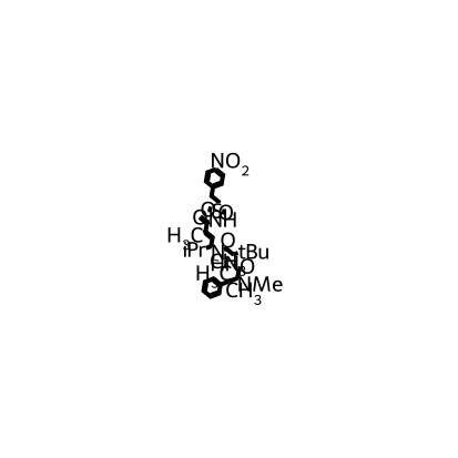 CNC(C(=O)NC(C(=O)N(C)C(C=C(C)C(=O)NS(=O)(=O)CCc1ccc([N+](=O)[O-])cc1)C(C)C)C(C)(C)C)C(C)(C)c1ccccc1